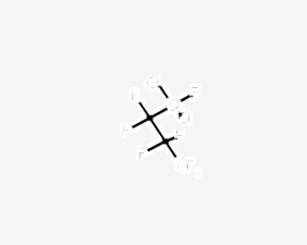 FC(F)(F)C(F)(F)C(F)(F)[Si](F)(Cl)Cl